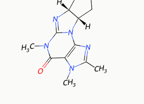 Cc1nc2c(n1C)C(=O)N(C)C1=N[C@@H]3CCC[C@@H]3N12